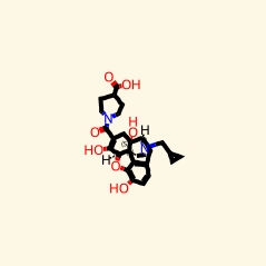 O=C(O)C1CCN(C(=O)C2=C(O)[C@@H]3Oc4c(O)ccc5c4[C@@]34CCN(CC3CC3)[C@H](C5)[C@]4(O)C2)CC1